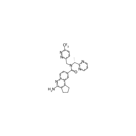 C[C@H](c1ncccn1)N(Cc1ccc(C(F)(F)F)nn1)C(=O)c1ccc2nc(N)c3c(c2c1)CCC3